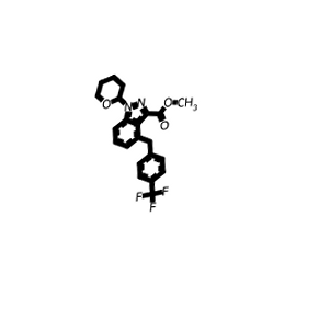 COC(=O)c1nn(C2CCCCO2)c2cccc(Cc3ccc(C(F)(F)F)cc3)c12